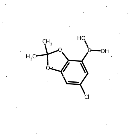 CC1(C)Oc2cc(Cl)cc(B(O)O)c2O1